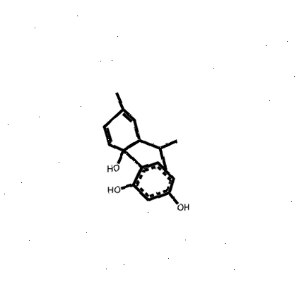 CC1=CC(C(C)C)C(O)(c2ccc(O)cc2O)C=C1